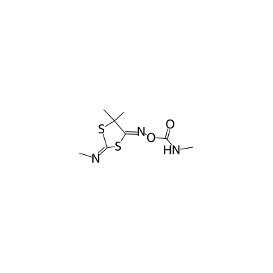 CN=C1SC(=NOC(=O)NC)C(C)(C)S1